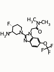 CN(C)C(=O)Cn1c(N2CC[C@@H](F)[C@H](N)C2)nc2ccc(OC(F)(F)F)cc21